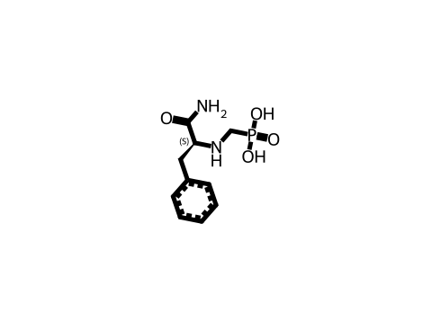 NC(=O)[C@H](Cc1ccccc1)NCP(=O)(O)O